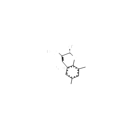 Cc1cc(Cl)cc2c1O[C@H](C(F)(F)F)C(C(=O)O)=C2.[NaH]